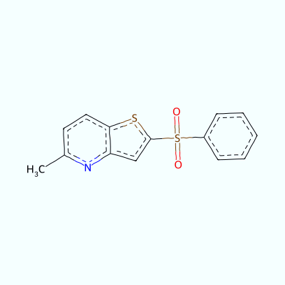 Cc1ccc2sc(S(=O)(=O)c3ccccc3)cc2n1